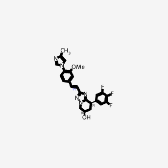 COc1cc(/C=C/c2nc3n(n2)C[C@H](O)C[C@@H]3c2cc(F)c(F)c(F)c2)ccc1-n1cnc(C)c1